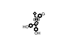 COc1ccc(N(CC2CCC2)S(=O)(=O)C2CC3OC2C(c2ccc(O)cc2)=C3c2ccc(O)cc2)cc1